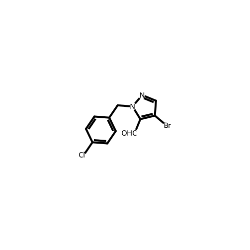 O=Cc1c(Br)cnn1Cc1ccc(Cl)cc1